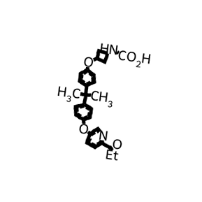 CCC(=O)c1ccc(Oc2ccc(C(C)(C)c3ccc(OC4CC(NC(=O)O)C4)cc3)cc2)cn1